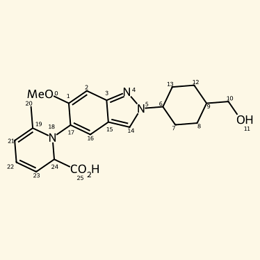 COc1cc2nn(C3CCC(CO)CC3)cc2cc1N1C(C)=CC=CC1C(=O)O